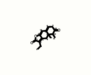 CCC1=C2CC3(C)C(=CCC(=O)C3C)C=C2OC1=O